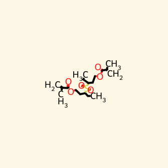 C=C(C)C(=O)OCCC(CC)S(=O)(=O)C(CC)CCOC(=O)C(=C)C